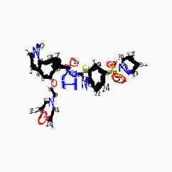 Cn1ccc2cc(OCCN3CCOCC3)c(C(=O)Nc3nc4ccc(S(=O)(=O)N5CCCC5)cc4s3)cc21